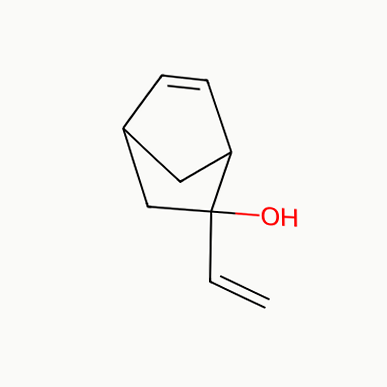 C=CC1(O)CC2C=CC1C2